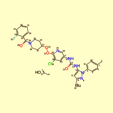 CS(=O)(=O)O.Cc1ccc(-n2nc(C(C)(C)C)cc2NC(=O)Nc2cnc(OOC3CCN(C(=O)c4ccccc4F)CC3)c(Cl)c2)cc1